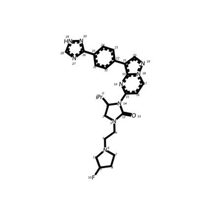 CC(C)C1CN(CCN2CCC(F)C2)C(=O)N1c1ccn2ncc(-c3ccc(-c4nc[nH]n4)cc3)c2n1